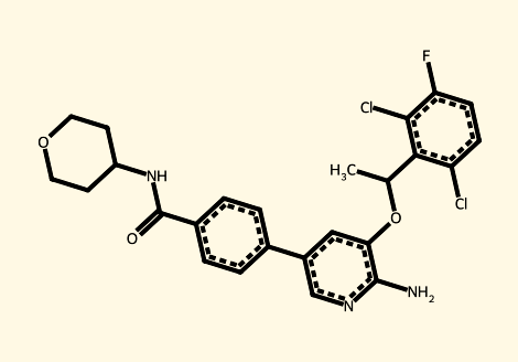 CC(Oc1cc(-c2ccc(C(=O)NC3CCOCC3)cc2)cnc1N)c1c(Cl)ccc(F)c1Cl